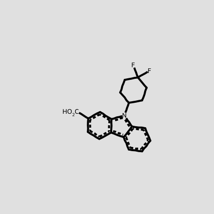 O=C(O)c1ccc2c3ccccc3n(C3CCC(F)(F)CC3)c2c1